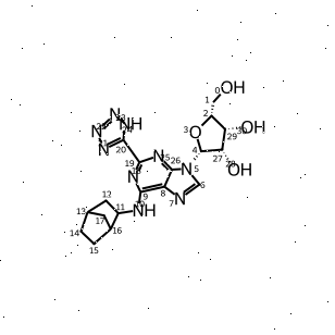 OC[C@H]1O[C@@H](n2cnc3c(NC4CC5CCC4C5)nc(-c4nnn[nH]4)nc32)[C@@H](O)[C@H]1O